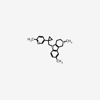 Cc1ccc2c(c1)c1c(n2CC2(c3ccc(C)nc3)CC2)CCN(C)C1